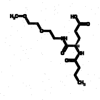 CCCC(=O)N[C@@H](CCC(=O)O)C(=O)NCCOCCOC